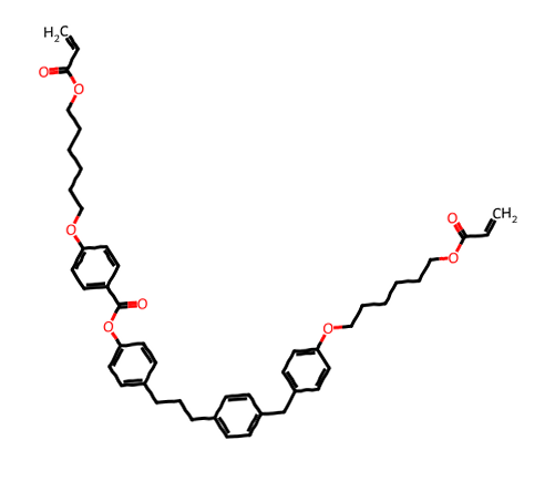 C=CC(=O)OCCCCCCOc1ccc(Cc2ccc(CCCc3ccc(OC(=O)c4ccc(OCCCCCCOC(=O)C=C)cc4)cc3)cc2)cc1